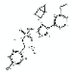 COc1cccc(-c2nnc(NS(=O)(=O)[C@@H](C)[C@H](OC)c3ncc(Cl)cn3)n2[C@@H]2CC3CC32)n1